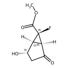 COC(=O)[C@@]1(F)[C@@H]2[C@@H](O)CC(=O)[C@@H]21